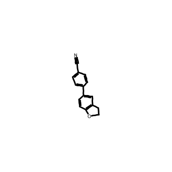 N#Cc1ccc(-c2ccc3c(c2)CCO3)cc1